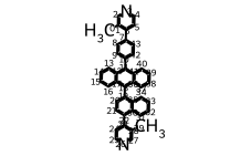 Cc1cnccc1-c1ccc(-c2c3ccccc3c(-c3ccc(-c4ccncc4C)c4ccccc34)c3ccccc23)cc1